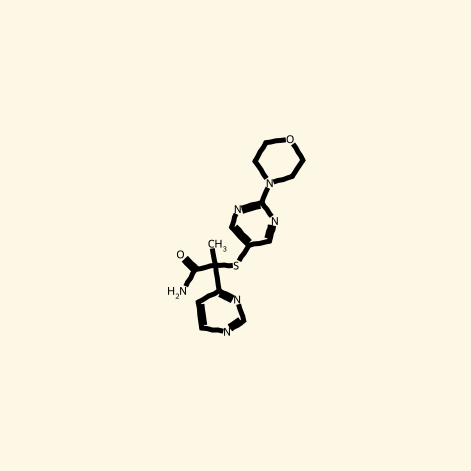 CC(Sc1cnc(N2CCOCC2)nc1)(C(N)=O)c1ccncn1